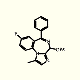 CC(=O)OC1N=C(c2ccccc2)c2cc(F)ccc2-n2c(C)cnc21